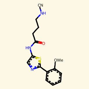 COc1ccccc1-c1ncc(NC(=O)CCCNC#N)s1